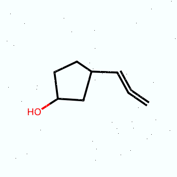 C=C=CC1CCC(O)C1